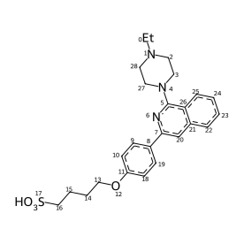 CCN1CCN(c2nc(-c3ccc(OCCCCS(=O)(=O)O)cc3)cc3ccccc23)CC1